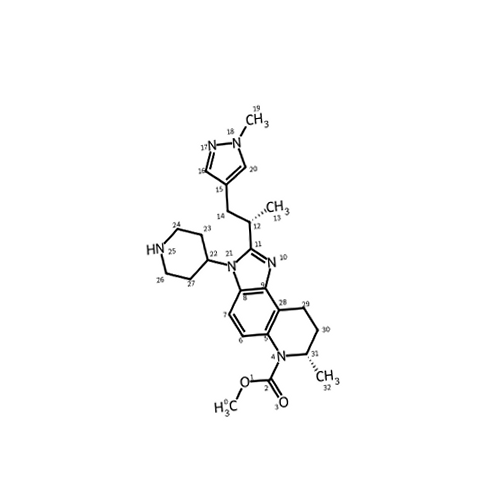 COC(=O)N1c2ccc3c(nc([C@@H](C)Cc4cnn(C)c4)n3C3CCNCC3)c2CC[C@@H]1C